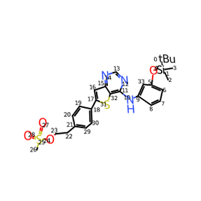 CC(C)(C)[Si](C)(C)Oc1cccc(Nc2ncnc3cc(-c4ccc(CCOS(C)(=O)=O)cc4)sc23)c1